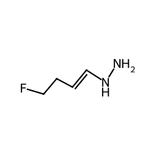 NNC=CCCF